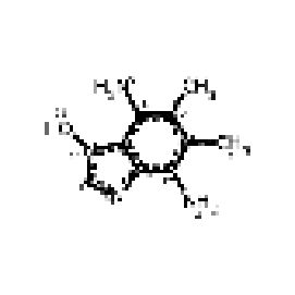 Cc1c(C)c(N)c2c(ncn2O)c1N